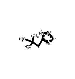 CC(C)(C)Cc1nnn[nH]1